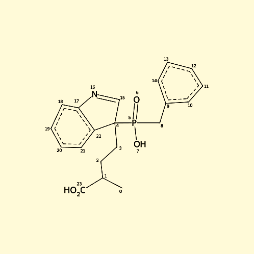 CC(CCC1(P(=O)(O)Cc2ccccc2)C=Nc2ccccc21)C(=O)O